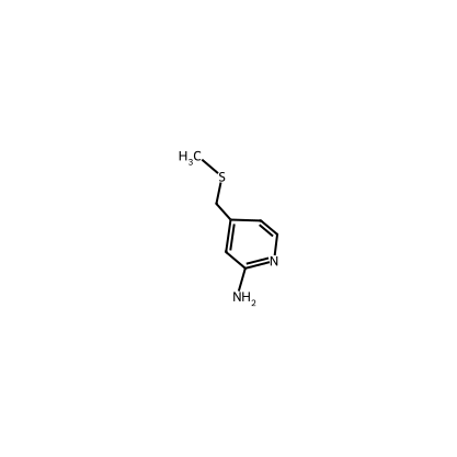 CSCc1ccnc(N)c1